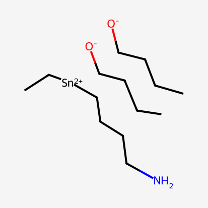 CCCC[O-].CCCC[O-].C[CH2][Sn+2][CH2]CCCN